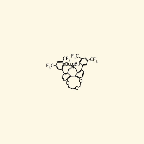 CCCC[N+]1(CCCC)Cc2c(-c3cc(C(F)(F)F)cc(C(F)(F)F)c3)ccc3c2-c2c(ccc(-c4cc(C(F)(F)F)cc(C(F)(F)F)c4)c2C1)OCCCCO3